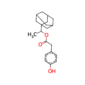 CC(OC(=O)Cc1ccc(O)cc1)C12CC3CC(CC(C3)C1)C2